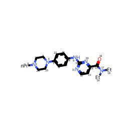 CCCN1CCN(c2ccc(Nc3nccc(C(=O)N(CC)CC)n3)cc2)CC1